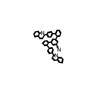 N#Cc1cc(-c2ccccc2-c2ccc(-c3ccc4ccccc4n3)cc2)cc(-c2ccccc2-c2ccc(-c3ccc4ccccc4n3)cc2)c1